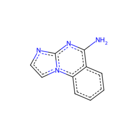 Nc1nc2nccn2c2ccccc12